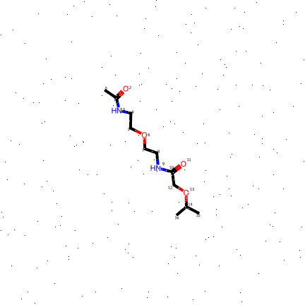 CC(=O)NCCOCCNC(=O)COC(C)C